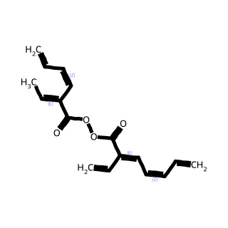 C=C/C=C\C=C(/C=C)C(=O)OOC(=O)C(/C=C\C=C)=C/C